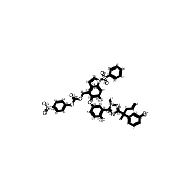 C=CCC(C)(c1cccc(Br)c1)c1nc(-c2cc(Oc3c(F)cc4c(ccn4S(=O)(=O)c4ccccc4)c3COC(=O)Oc3ccc([N+](=O)[O-])cc3)ccc2F)n(C)n1